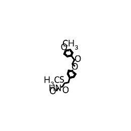 COc1ccc(C(=O)COc2ccc(CC(SC)C(=O)NC=O)cc2)cc1